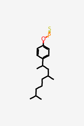 CC(C)CCCC(C)CC(C)c1ccc(OP=S)cc1